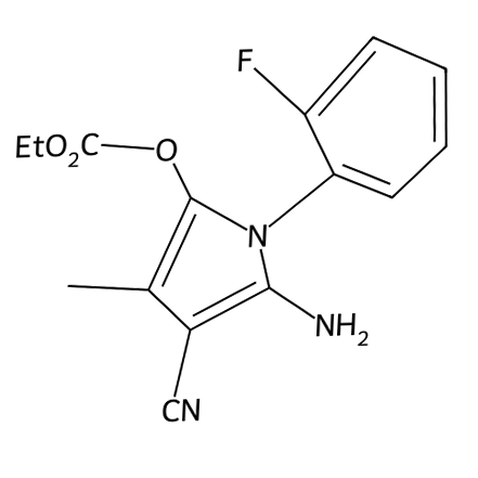 CCOC(=O)Oc1c(C)c(C#N)c(N)n1-c1ccccc1F